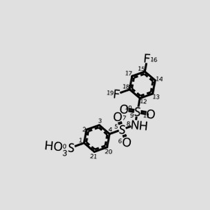 O=S(=O)(O)c1ccc(S(=O)(=O)NS(=O)(=O)c2ccc(F)cc2F)cc1